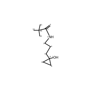 C=C(NCCCC1(O)CC1)C(C)(C)C